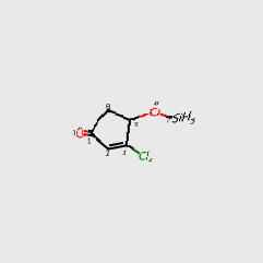 O=C1C=C(Cl)C(O[SiH3])C1